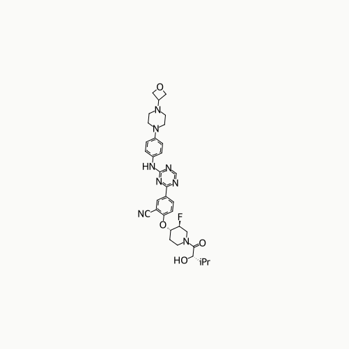 CC(C)[C@H](O)C(=O)N1CC[C@H](Oc2ccc(-c3ncnc(Nc4ccc(N5CCN(C6COC6)CC5)cc4)n3)cc2C#N)[C@@H](F)C1